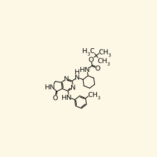 Cc1cccc(Nc2nc(NC3CCCCC3NC(=O)OC(C)(C)C)nc3c2C(=O)NC3)c1